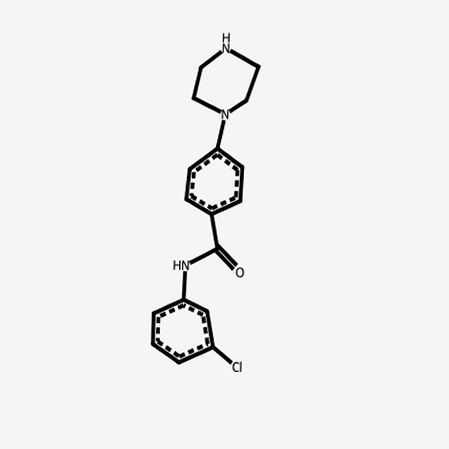 O=C(Nc1cccc(Cl)c1)c1ccc(N2CCNCC2)cc1